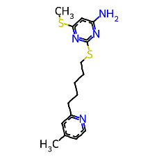 CSc1cc(N)nc(SCCCCCc2cc(C)ccn2)n1